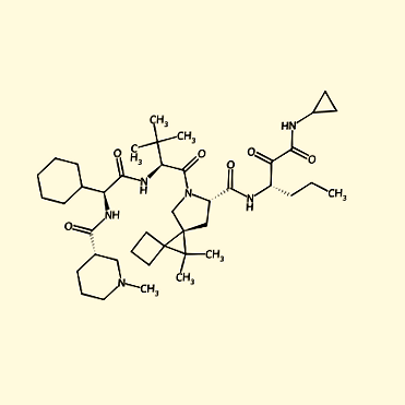 CCC[C@H](NC(=O)[C@@H]1C[C@@]2(CN1C(=O)[C@@H](NC(=O)[C@@H](NC(=O)[C@H]1CCCN(C)C1)C1CCCCC1)C(C)(C)C)C(C)(C)C21CCC1)C(=O)C(=O)NC1CC1